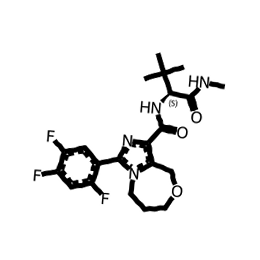 CNC(=O)[C@@H](NC(=O)c1nc(-c2cc(F)c(F)cc2F)n2c1COCCC2)C(C)(C)C